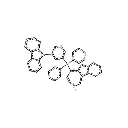 C=C/C(=c1/sc2ccccc2/c1=C/C)[Si](c1ccccc1)(c1ccccc1)c1cccc(-n2c3ccccc3c3ccccc32)c1